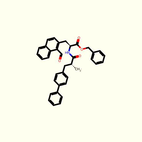 [CH2][C@H](Cc1ccc(-c2ccccc2)cc1)C(=O)N[C@@H](Cc1ccc2ccccc2c1C=O)C(=O)OCc1ccccc1